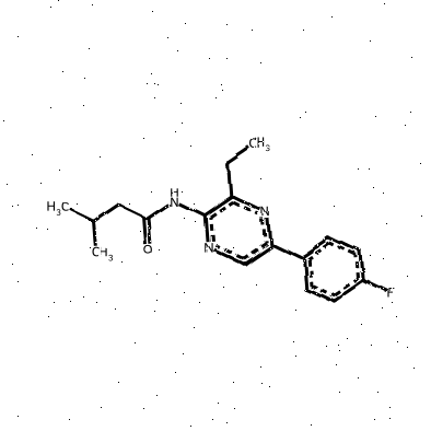 CCc1nc(-c2ccc(F)cc2)cnc1NC(=O)CC(C)C